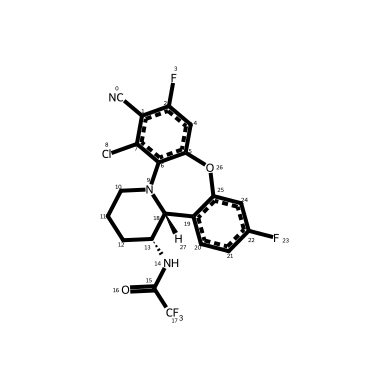 N#Cc1c(F)cc2c(c1Cl)N1CCC[C@@H](NC(=O)C(F)(F)F)[C@H]1c1ccc(F)cc1O2